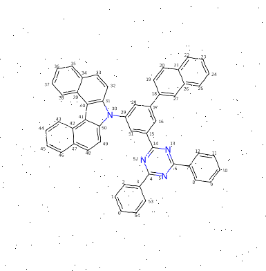 c1ccc(-c2nc(-c3ccccc3)nc(-c3cc(-c4ccc5ccccc5c4)cc(-n4c5ccc6ccccc6c5c5c6ccccc6ccc54)c3)n2)cc1